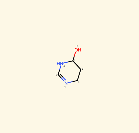 OC1CCN=CN1